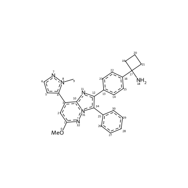 COc1cc(-c2ccnn2C)c2nc(-c3ccc(C4(N)CCC4)cc3)c(-c3ccccc3)n2n1